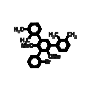 COc1c(-c2cccc(C)c2C)cc(-c2cccc(C)c2C)c(OC)c1-c1ccccc1Br